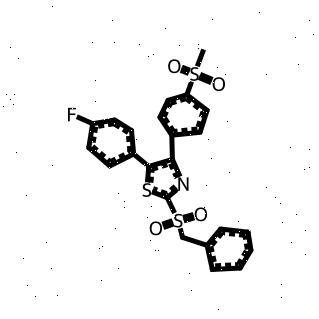 CS(=O)(=O)c1ccc(-c2nc(S(=O)(=O)Cc3ccccc3)sc2-c2ccc(F)cc2)cc1